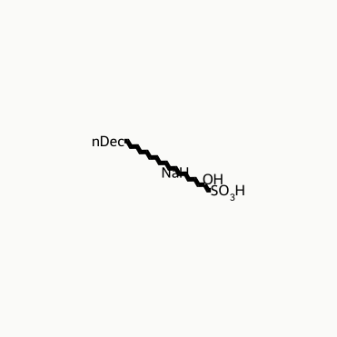 CCCCCCCCCCCCCCCCCCCCCCCCCCC(O)CS(=O)(=O)O.[NaH]